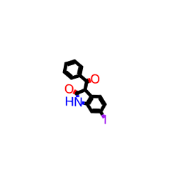 O=C1Nc2cc(I)ccc2C1C(=O)c1ccccc1